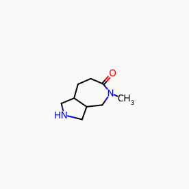 CN1CC2CNCC2CCC1=O